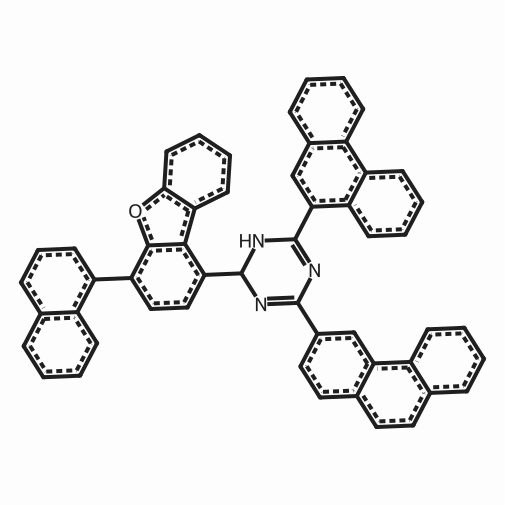 c1ccc2c(-c3ccc(C4N=C(c5ccc6ccc7ccccc7c6c5)N=C(c5cc6ccccc6c6ccccc56)N4)c4c3oc3ccccc34)cccc2c1